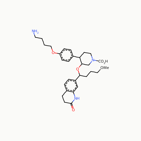 COCCCC(OC1CN(C(=O)O)CCC1c1ccc(OCCCCN)cc1)c1ccc2c(c1)NC(=O)CC2